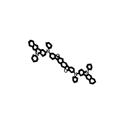 c1ccc(N(c2ccc3c(c2)oc2cc4cc5c(cc4cc23)oc2cc(N(c3ccccc3)c3ccc4c(c3)c3cc6ccccc6cc3n4-c3ccccc3)ccc25)c2ccc3c(c2)c2cc4ccccc4cc2n3-c2ccccc2)cc1